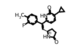 Cc1ccc(C(=C[C@H]2CCC(=O)N2)c2ccc(C3CC3)c(=O)[nH]2)cc1F